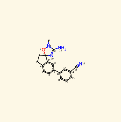 CN1OC2(CCc3ccc(-c4cccc(C#N)c4)cc32)N=C1N